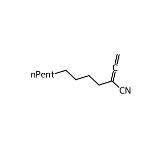 C=C=C(C#N)CCCCCCCCC